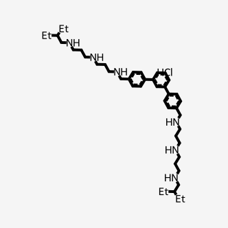 CCC(CC)CNCCCNCCCNCc1ccc(-c2cccc(-c3ccc(CNCCCNCCCNCC(CC)CC)cc3)c2)cc1.Cl